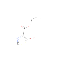 CCOC(=O)c1ncsc1Br